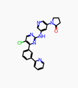 O=C1CCCN1c1cncc(Nc2ncc(Cl)c(-c3cccc(-c4ccccn4)c3)n2)c1